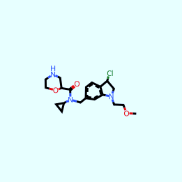 COCCN1CC(Cl)c2ccc(CN(C(=O)C3CNCCO3)C3CC3)cc21